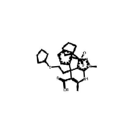 CC1=C(C(=O)O)C(CCSC2CCCC2)(c2ccccc2[N+](=O)[O-])c2c(C3CCCC3)nn(C)c2N1